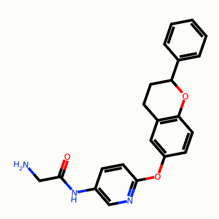 NCC(=O)Nc1ccc(Oc2ccc3c(c2)CCC(c2ccccc2)O3)nc1